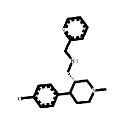 CN1CCC(c2ccc(Cl)cc2)[C@H](CNCc2ccccn2)C1